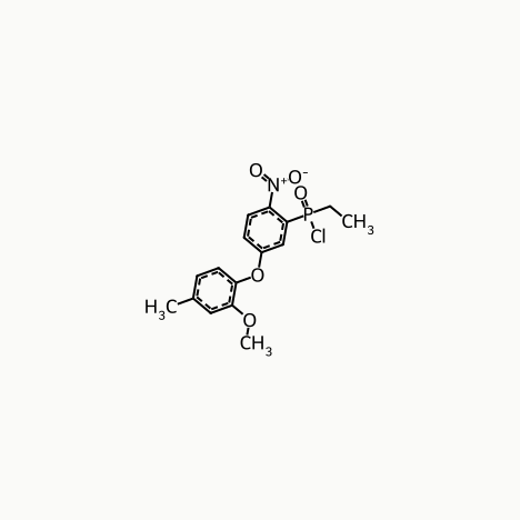 CCP(=O)(Cl)c1cc(Oc2ccc(C)cc2OC)ccc1[N+](=O)[O-]